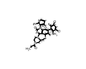 C=CC(=O)N1CCN2c3nc(=O)n(-c4c(C)ccnc4C(C)C)c4cc(-c5c(N)c(Cl)cc(Cl)c5F)c(F)c(c34)SCC2C1